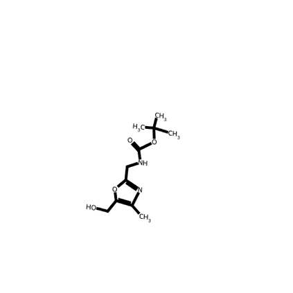 Cc1nc(CNC(=O)OC(C)(C)C)oc1CO